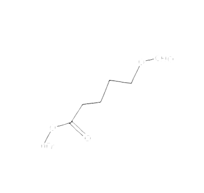 CCCOC(=O)CCCCO[C]=O